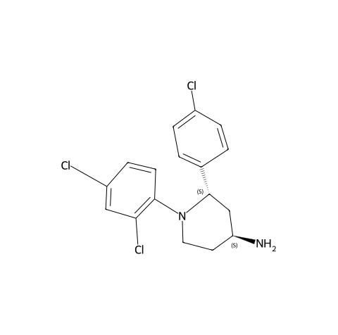 N[C@H]1CCN(c2ccc(Cl)cc2Cl)[C@H](c2ccc(Cl)cc2)C1